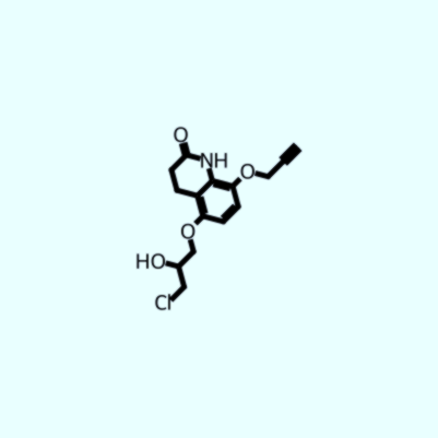 C#CCOc1ccc(OCC(O)CCl)c2c1NC(=O)CC2